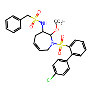 O=C(O)OC1C(NS(=O)(=O)Cc2ccccc2)CC=CCN1S(=O)(=O)c1ccccc1-c1ccc(Cl)cc1